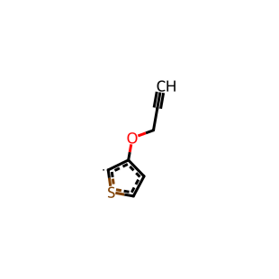 C#CCOc1[c]scc1